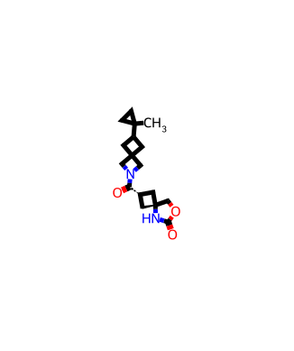 CC1(C2CC3(C2)CN(C(=O)[C@H]2C[C@]4(COC(=O)N4)C2)C3)CC1